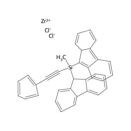 C[Si](C#Cc1ccccc1)(C1=c2ccccc2=C2C=CC=CC21)C1c2ccccc2-c2ccccc21.[Cl-].[Cl-].[Zr+2]